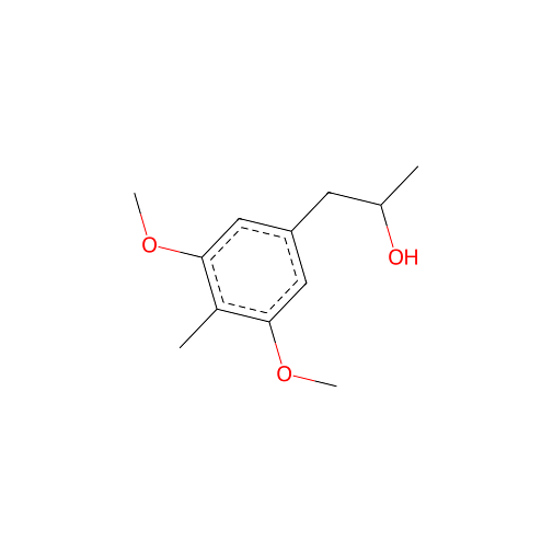 COc1cc(CC(C)O)cc(OC)c1C